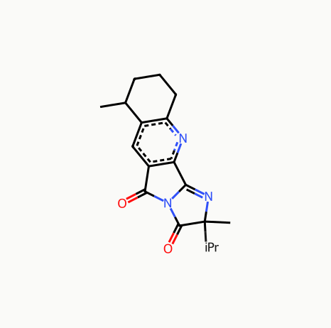 CC1CCCc2nc3c(cc21)C(=O)N1C(=O)C(C)(C(C)C)N=C31